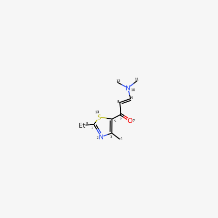 CCc1nc(C)c(C(=O)C=CN(C)C)s1